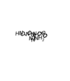 Nc1ncnc2c1c(-c1ccc(Oc3ccccc3)cc1)nn2[C@@H]1CCCN(CC2CCNCC2)C1